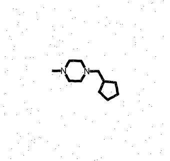 CN1CCN(CC2CCCC2)CC1